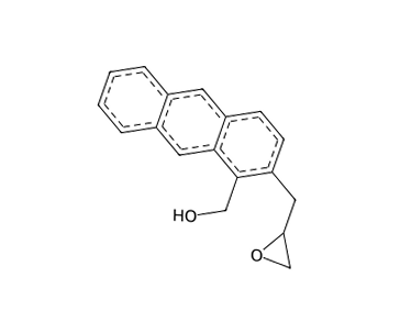 OCc1c(CC2CO2)ccc2cc3ccccc3cc12